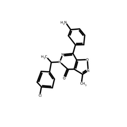 Cc1noc2c(-c3cccc(N)c3)nn(C(C)c3ccc(Cl)cc3)c(=O)c12